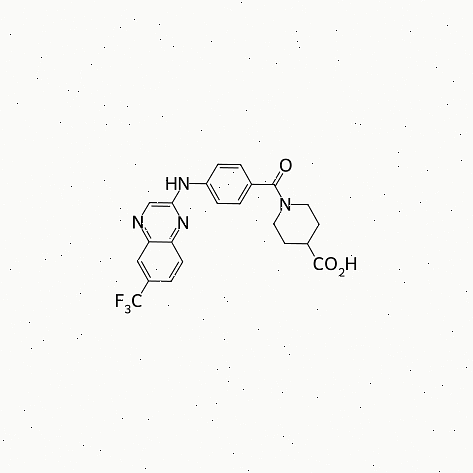 O=C(O)C1CCN(C(=O)c2ccc(Nc3cnc4cc(C(F)(F)F)ccc4n3)cc2)CC1